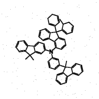 CC1CC=CC=C1C1(C2=CCCC=C2)c2ccccc2-c2c(N(c3cccc(C4(C)c5ccccc5-c5ccccc54)c3)c3ccc4c(c3)C(C)(C)c3ccccc3-4)cccc21